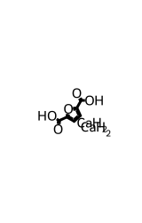 O=C(O)c1ccc(C(=O)O)o1.[CaH2].[CaH2]